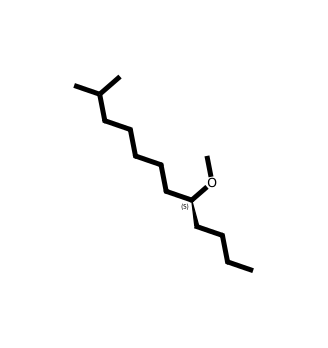 CCCC[C@@H](CCCCCC(C)C)OC